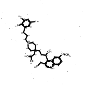 COc1ccc2ncc(CF)c(C(O)CCC3(CC(=O)O)CCN(CCCc4cc(F)cc(F)c4F)CC3)c2c1